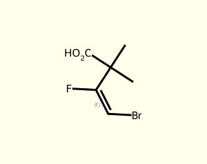 CC(C)(C(=O)O)/C(F)=C\Br